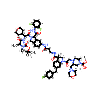 CC1COCCN1CC1CN(C(=O)O)C(C)CN1CC(=O)N1CC(C)(C(=O)NCCC(=O)Nc2ccc3c(c2)C(C(=O)Nc2c(F)cccc2F)N(C(=O)C(NC(=O)C(C)N(C)C(=O)OC(C)(C)C)C2CCOCC2)C3)c2ccc(Cc3ccc(F)cc3)cc21